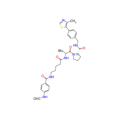 Cc1ncsc1-c1ccc(CNC(=O)[C@@H]2CCCN2C(=O)C(NC(=O)CCCCNC(=O)c2ccc(NC=O)cc2)C(C)(C)C)cc1